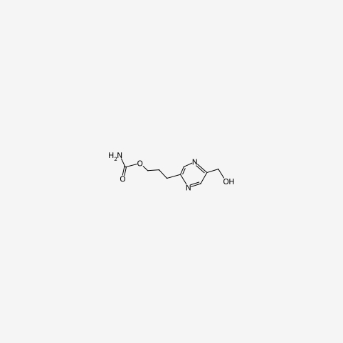 NC(=O)OCCCc1cnc(CO)cn1